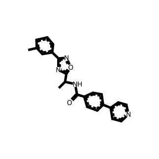 Cc1cccc(-c2noc(C(C)NC(=O)c3ccc(-c4ccncc4)cc3)n2)c1